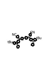 CC(C)(C)c1ccc2c(c1)c1cc(N(c3ccc(C#N)cc3)c3ccc(-c4ccc(N(c5ccc(C#N)cc5)c5ccc6c(c5)c5cc(C(C)(C)C)ccc5n6-c5ccccc5)cc4)cc3)ccc1n2-c1ccccc1